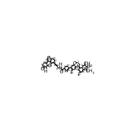 Cc1cc2c(N3CCOc4cc(-c5ccc(C(=O)NCC#Cc6ccc7occ(C8CCC(=O)NC8=O)c7c6)nc5)c(F)cc43)cc(F)cc2n(C)c1=O